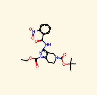 CCOC(=O)n1nc(NC(=O)c2ccccc2[N+](=O)[O-])c2c1CCN(C(=O)OC(C)(C)C)C2